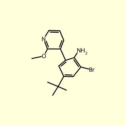 COc1ncccc1-c1cc(C(C)(C)C)cc(Br)c1N